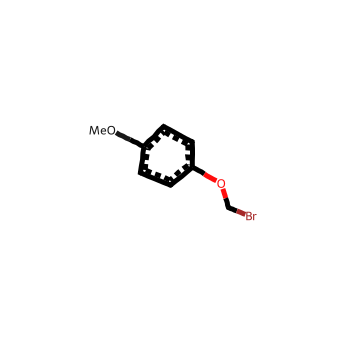 COc1ccc(OCBr)cc1